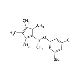 CC1=C(C)C(C)[C]([Ti]([CH3])[O]c2cc(Cl)cc(C(C)(C)C)c2)=C1C